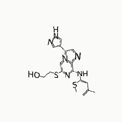 C=C(C)/C=C(/Nc1nc(SCCO)cn2c(-c3cn[nH]c3)cnc12)SC